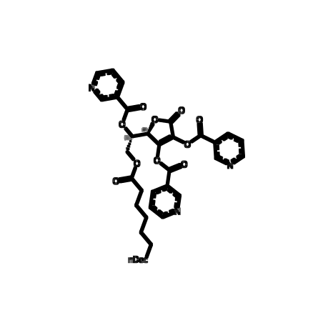 CCCCCCCCCCCCCCCC(=O)OC[C@H](OC(=O)c1cccnc1)[C@H]1OC(=O)C(OC(=O)c2cccnc2)=C1OC(=O)c1cccnc1